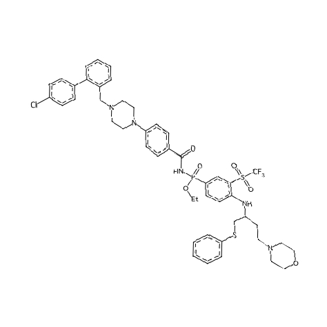 CCOP(=O)(NC(=O)c1ccc(N2CCN(Cc3ccccc3-c3ccc(Cl)cc3)CC2)cc1)c1ccc(NC(CCN2CCOCC2)CSc2ccccc2)c(S(=O)(=O)C(F)(F)F)c1